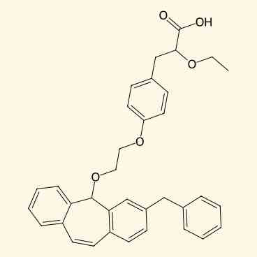 CCOC(Cc1ccc(OCCOC2c3ccccc3C=Cc3ccc(Cc4ccccc4)cc32)cc1)C(=O)O